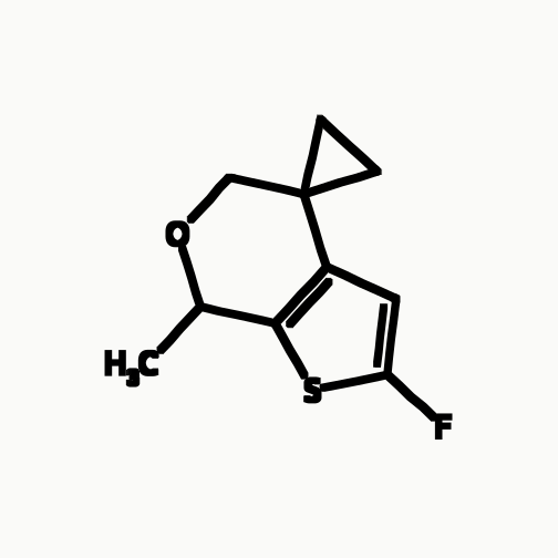 CC1OCC2(CC2)c2cc(F)sc21